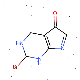 O=C1C=NC2=C1CNC(Br)N2